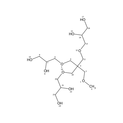 COCC(COCC(O)CO)(COCC(O)CO)COCC(O)CO